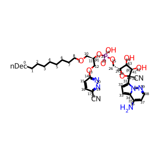 CCCCCCCCCCCCCCCCCCOC[C@H](COc1ccc(C#N)nn1)OP(=O)(O)OC[C@H]1O[C@@](C#N)(c2ccc3c(N)ccnn23)[C@H](O)[C@@H]1O